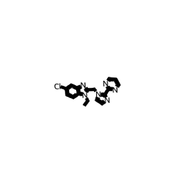 CCn1c(Cn2ccnc2-c2ncccn2)nc2cc(Cl)ccc21